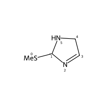 CS[C]1N=CCN1